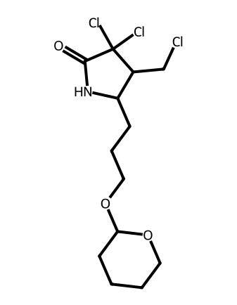 O=C1NC(CCCOC2CCCCO2)C(CCl)C1(Cl)Cl